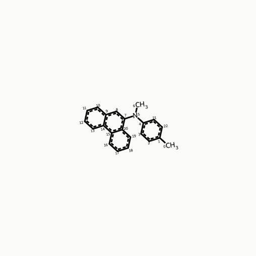 Cc1ccc(N(C)c2cc3ccccc3c3ccccc23)cc1